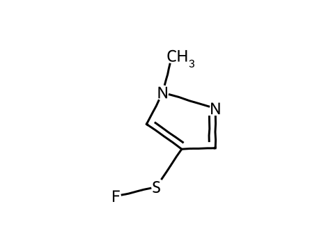 Cn1cc(SF)cn1